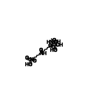 CO[C@@H]1C[C@@H](CO)N(C(=O)CCCCCNC(=O)CCCCCO[C@@H]2OC(CO)[C@H](O)C(O)[C@@H]2NC(C)=O)C1